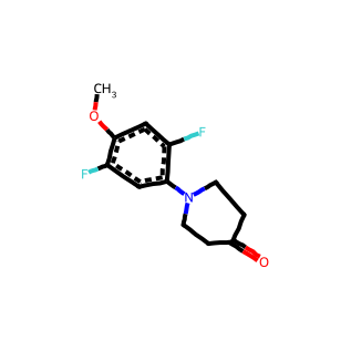 COc1cc(F)c(N2CCC(=O)CC2)cc1F